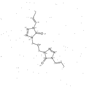 C/C=C/n1nnn(COCn2nnn(/C=C/C)c2=O)c1=O